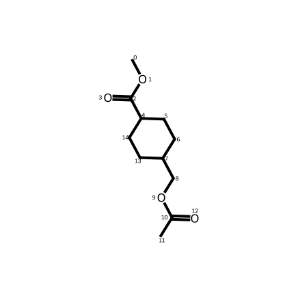 COC(=O)C1CCC(COC(C)=O)CC1